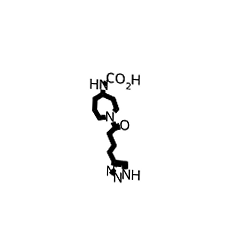 O=C(O)NC1CCCN(C(=O)CCCc2c[nH]nn2)CC1